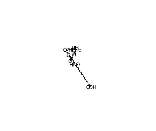 O=C(O)CCCCCCCCCCCCCCCCC(=O)NCCCC(=O)N(CCOCCC(=O)P)CCOCCC(=O)PP